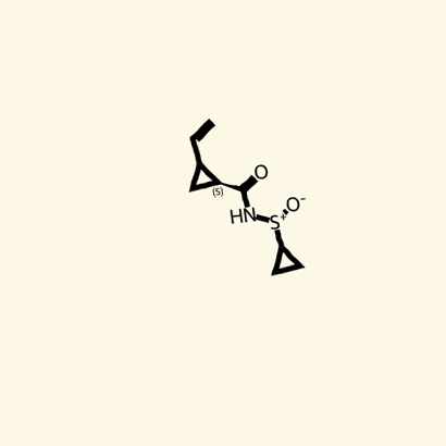 C=CC1C[C@@H]1C(=O)N[S+]([O-])C1CC1